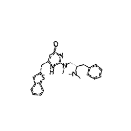 CN(C[C@H](Cc1ccccc1)N(C)C)c1nc(=O)cc(Cc2cc3ccccc3s2)[nH]1